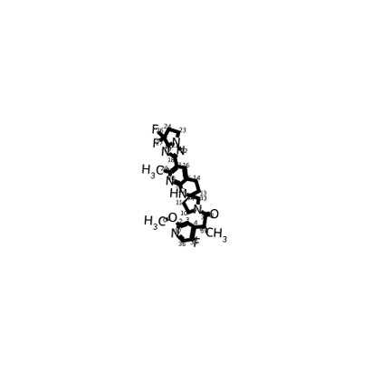 COc1cc([C@@H](C)C(=O)N2CC[C@@]3(CCc4cc(-c5nc6n(n5)CCC6(F)F)c(C)nc4N3)C2)c(F)cn1